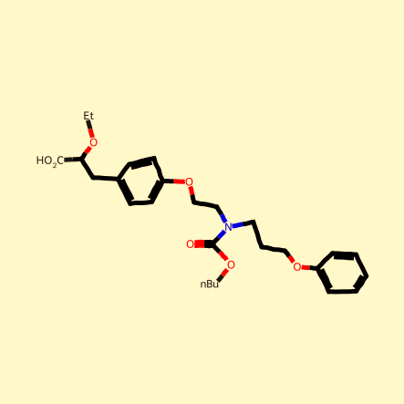 CCCCOC(=O)N(CCCOc1ccccc1)CCOc1ccc(CC(OCC)C(=O)O)cc1